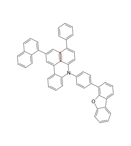 c1ccc(-c2ccc(N(c3ccc(-c4cccc5c4oc4ccccc45)cc3)c3ccccc3-c3cccc(-c4cccc5ccccc45)c3)cc2)cc1